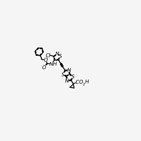 O=C(Nc1c(Cl)nsc1C#Cc1nc2sc(C3(C(=O)O)CC3)nc2s1)OCc1ccccc1